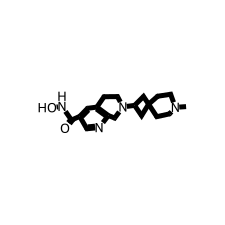 CN1CCC2(CC1)CC(N1CCc3cc(C(=O)NO)cnc3C1)C2